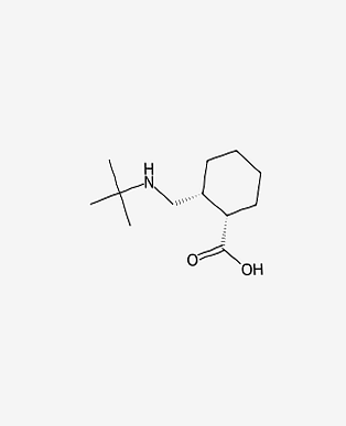 CC(C)(C)NC[C@@H]1CCCC[C@@H]1C(=O)O